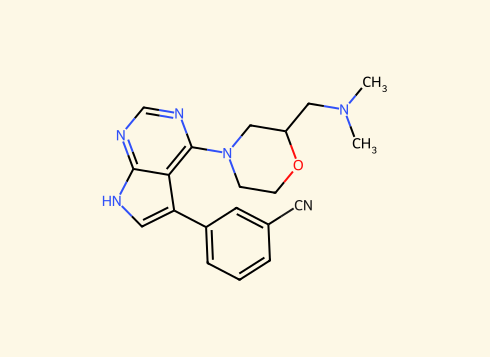 CN(C)CC1CN(c2ncnc3[nH]cc(-c4cccc(C#N)c4)c23)CCO1